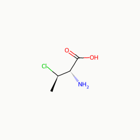 C[C@@H](Cl)[C@@H](N)C(=O)O